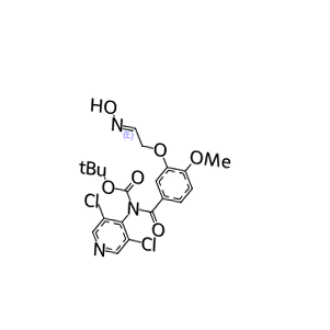 COc1ccc(C(=O)N(C(=O)OC(C)(C)C)c2c(Cl)cncc2Cl)cc1OC/C=N/O